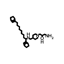 NCC(O)CN1CCC(CNC(CCCCCCCCC2CC3CCC2C3)C2CC3CCC2C3)CC1